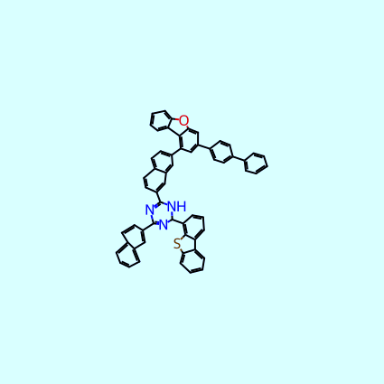 c1ccc(-c2ccc(-c3cc(-c4ccc5ccc(C6=NC(c7ccc8ccccc8c7)=NC(c7cccc8c7sc7ccccc78)N6)cc5c4)c4c(c3)oc3ccccc34)cc2)cc1